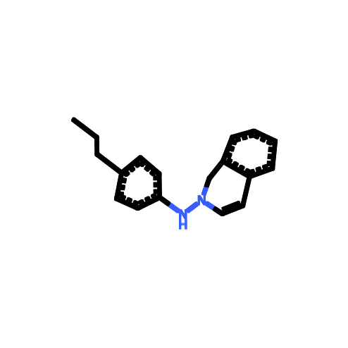 CCCc1ccc(NN2C=Cc3ccccc3C2)cc1